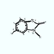 C=C1Sc2ccc(C)cc2N1C